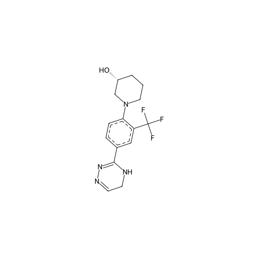 O[C@@H]1CCCN(c2ccc(C3=NN=CCN3)cc2C(F)(F)F)C1